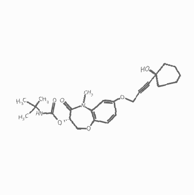 CN1C(=O)[C@@H](OC(=O)NC(C)(C)C)COc2ccc(OCC#CC3(O)CCCCC3)cc21